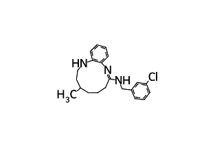 CC1CCC/C(NCc2cccc(Cl)c2)=N\c2ccccc2NCC1